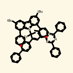 C/C=C(\C=C(\c1ccc(-c2ccccc2)cc1)C(C)(CC)n1c2c(-c3ccccc3)cc(C(C)(C)C)cc2c2cc(C(C)(C)C)cc(-c3ccccc3)c21)c1nc(-c2ccccc2)nc(-c2ccccc2)n1